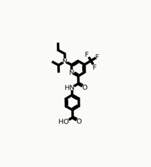 CCCN(c1cc(C(F)(F)F)cc(C(=O)Nc2ccc(C(=O)O)cc2)n1)C(C)C